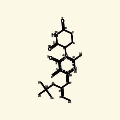 C=c1c(=O)n(C2CCC(=O)NC2=O)c(C)n/c1=C/C(=C\C)CC(C)(C)C